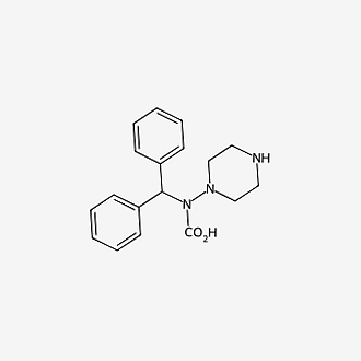 O=C(O)N(C(c1ccccc1)c1ccccc1)N1CCNCC1